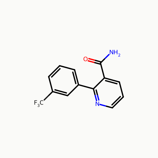 NC(=O)c1cccnc1-c1cccc(C(F)(F)F)c1